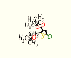 C[Si](C)(C)OCc1sc(Cl)cc1C(=O)O[Si](C)(C)C